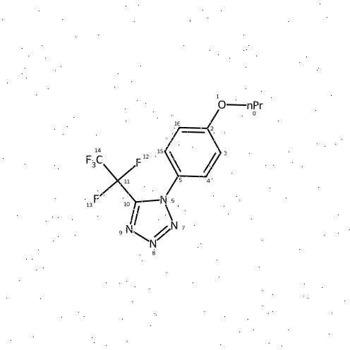 CCCOc1ccc(-n2nnnc2C(F)(F)C(F)(F)F)cc1